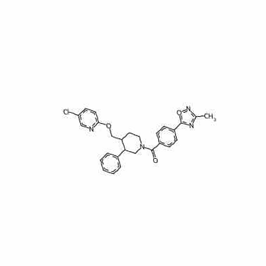 Cc1noc(-c2ccc(C(=O)N3CCC(COc4ccc(Cl)cn4)C(c4ccccc4)C3)cc2)n1